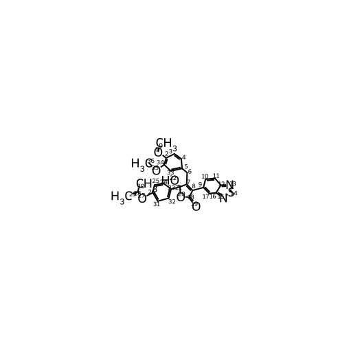 COc1ccc(CC2=C(c3ccc4nsnc4c3)C(=O)OC2(O)c2ccc(OC(C)C)cc2)cc1OC